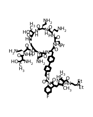 CCN(CC)CCNC(=O)c1c(C)[nH]c(/C=C2\C(=O)N(C(=O)NCc3ccc(-c4ccc(CC5NC(=O)C(CCN)NC(=O)C(NC(=O)[C@@H](CCN)NC(=O)C(N)[C@H](C)O)CCNC(=O)[C@@H]([C@@H](C)O)NC(=O)[C@@H](CCN)NC(=O)[C@@H](CCN)NC(=O)[C@@H](CC(C)C)NC5=O)cc4)cc3)c3ccc(F)cc32)c1C